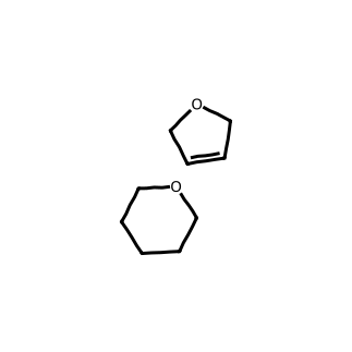 C1=CCOC1.C1CCOCC1